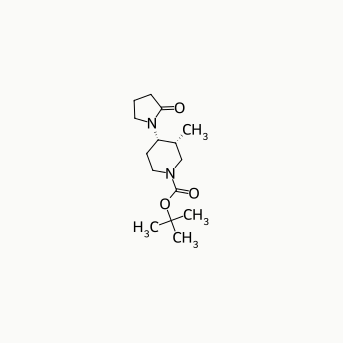 C[C@@H]1CN(C(=O)OC(C)(C)C)CC[C@@H]1N1CCCC1=O